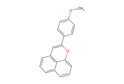 COc1ccc(C2=Cc3cccc4cccc(c34)O2)cc1